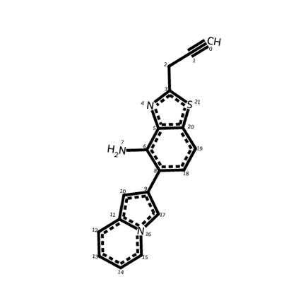 C#CCc1nc2c(N)c(-c3cc4ccccn4c3)ccc2s1